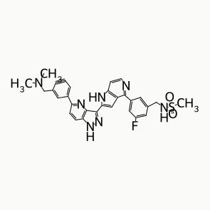 CN(C)Cc1c#ccc(-c2ccc3[nH]nc(-c4cc5c(-c6cc(F)cc(CNS(C)(=O)=O)c6)nccc5[nH]4)c3n2)c1